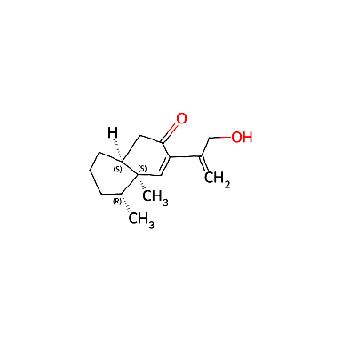 C=C(CO)C1=C[C@]2(C)[C@@H](CCC[C@H]2C)CC1=O